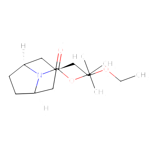 CCOCC[C@H]1C[C@H]2CC[C@@H](C1)N2C(=O)OC(C)(C)C